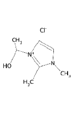 Cc1n(C)cc[n+]1C(C)O.[Cl-]